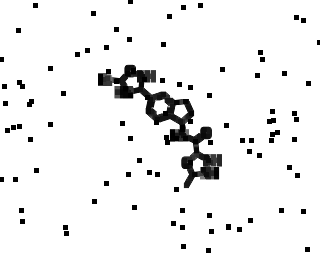 CCC1NC(c2ccc3c(c2)CC[C@H]3NC(=O)C2NNC(C)O2)NO1